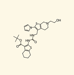 CC(C)(C)OC(=O)c1c(NC(=O)NCc2c(-n3cccc3)sc3c2CCN(CCO)C3)sc2c1CCCC2